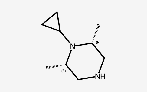 C[C@@H]1CNC[C@H](C)N1C1CC1